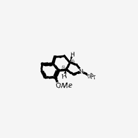 CCCN1C[C@H]2CCc3cccc(OC)c3[C@H]2C1